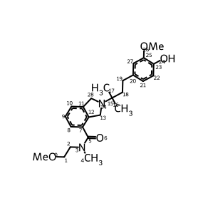 COCCN(C)C(=O)c1cccc2c1CN(C(C)(C)CCc1ccc(O)c(OC)c1)C2